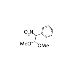 CO[C](OC)C(c1ccccc1)[N+](=O)[O-]